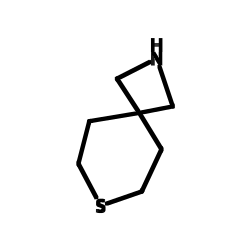 C1CC2(CCS1)CNC2